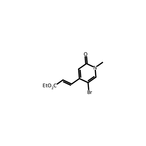 CCOC(=O)/C=C/c1cc(=O)n(C)cc1Br